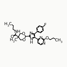 CCCNC(=O)C1(C)COC(c2nc(-c3ccc(F)cc3)c(-c3ccnc(OCCC)n3)[nH]2)OC1